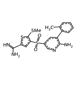 CSc1sc(C(=N)N)cc1S(=O)(=O)c1cnc(N)c(-c2ccccc2C)c1